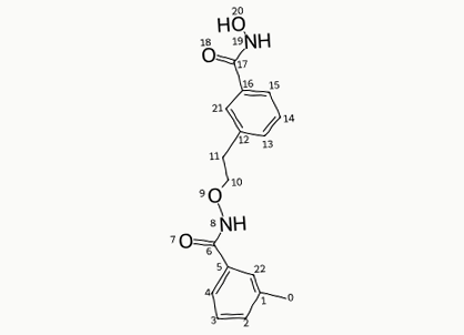 Cc1cccc(C(=O)NOCCc2cccc(C(=O)NO)c2)c1